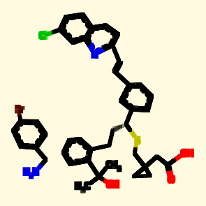 CC(C)(O)c1ccccc1CC[C@@H](SCC1(CC(=O)O)CC1)c1cccc(C=Cc2ccc3ccc(Cl)cc3n2)c1.NCc1ccc(Br)cc1